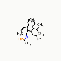 C=C/C=C(\C=C/C)C(/CNC(C)=P)=C(/CCC(C)C)C(CC=C)/C(C)=C\C